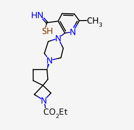 CCOC(=O)N1CC2(CC[C@@H](N3CCN(c4nc(C)ccc4C(=N)S)CC3)C2)C1